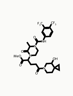 COC(=O)C(CCC(=O)N1CCC2(CC2)C(O)C1)N1CCN(C(=O)Nc2ccc(C(F)(F)F)c(C(F)(F)F)c2)C(C)C1=O